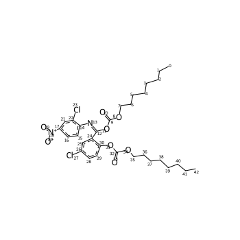 CCCCCCCCOC(=O)O/C(=N/c1ccc([N+](=O)[O-])cc1Cl)c1cc(Cl)ccc1OC(=O)OCCCCCCCC